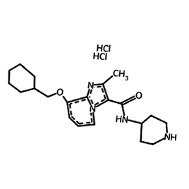 Cc1nc2c(OCC3CCCCC3)cccn2c1C(=O)NC1CCNCC1.Cl.Cl